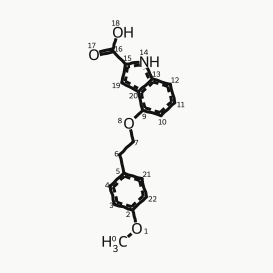 COc1ccc(CCOc2cccc3[nH]c(C(=O)O)cc23)cc1